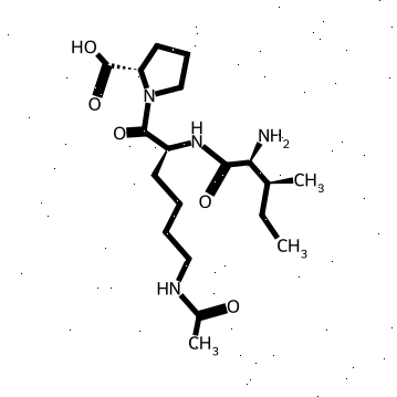 CC[C@H](C)[C@H](N)C(=O)N[C@@H](CCCCNC(C)=O)C(=O)N1CCC[C@H]1C(=O)O